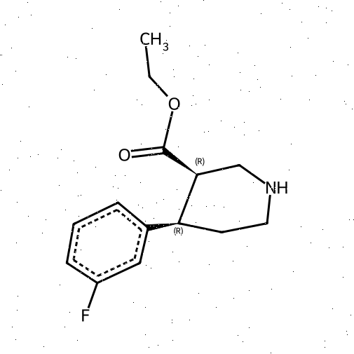 CCOC(=O)[C@H]1CNCC[C@H]1c1cccc(F)c1